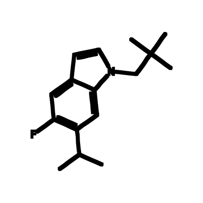 CC(C)c1cc2c(ccn2CC(C)(C)C)cc1F